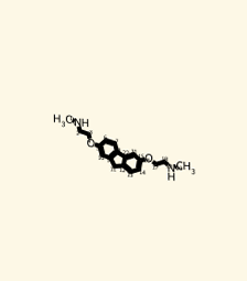 CNCCOc1ccc2c(c1)Cc1ccc(OCCNC)cc1-2